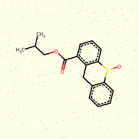 CC(C)COC(=O)c1cccc2c1Cc1ccccc1[S+]2[O-]